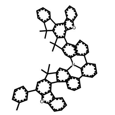 Cc1cccc(-c2cc3c(c4c2oc2ccccc24)-c2ccc(N(c4ccc5c(c4)C(C)(C)c4c6c(c7c(oc8ccccc87)c4-5)-c4ccccc4C6(C)C)c4c(-c5ccccc5)cccc4-c4ccccc4)cc2C3(C)C)c1